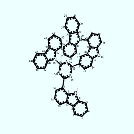 c1ccc2c(c1)oc1c(-c3nc(-c4ccc5oc6cccc(-n7c8ccccc8c8ccccc87)c6c5c4)nc(-n4c5ccccc5c5ccccc54)n3)cccc12